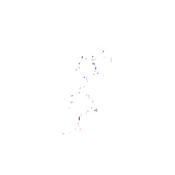 COc1ccc(-n2ccc(C(F)(F)F)n2)cc1Cl